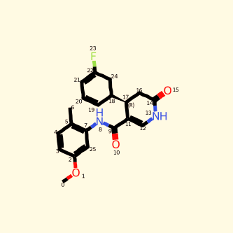 COc1ccc(C)c(NC(=O)C2=CNC(=O)C[C@@H]2C2C=CC=C(F)C2)c1